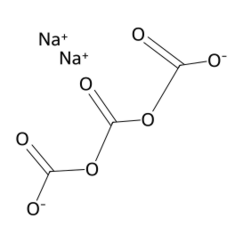 O=C([O-])OC(=O)OC(=O)[O-].[Na+].[Na+]